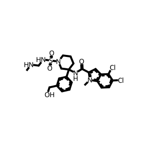 CNCNS(=O)(=O)N1CCCC(NC(=O)c2cc3c(Cl)c(Cl)ccc3n2C)(c2cccc(CO)c2)C1